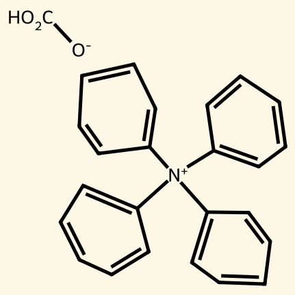 O=C([O-])O.c1ccc([N+](c2ccccc2)(c2ccccc2)c2ccccc2)cc1